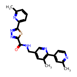 Cc1cc(-c2ncc(CNC(=O)c3nnc(-c4cccc(C)n4)s3)cc2C)ccn1